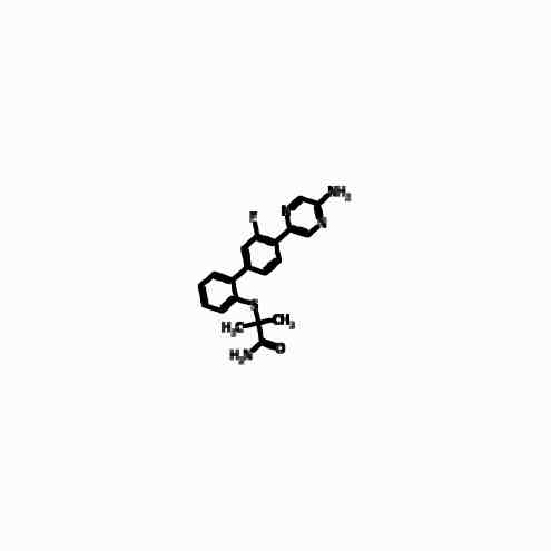 CC(C)(Sc1ccccc1-c1ccc(-c2cnc(N)cn2)c(F)c1)C(N)=O